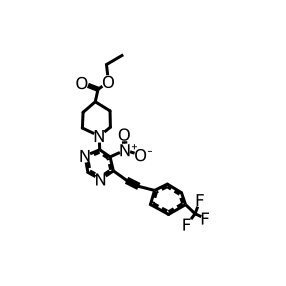 CCOC(=O)C1CCN(c2ncnc(C#Cc3ccc(C(F)(F)F)cc3)c2[N+](=O)[O-])CC1